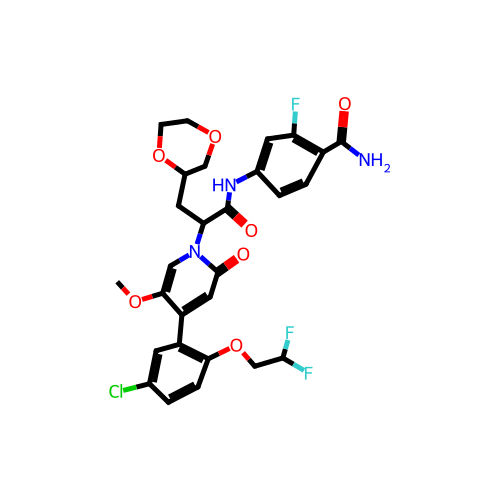 COc1cn(C(CC2COCCO2)C(=O)Nc2ccc(C(N)=O)c(F)c2)c(=O)cc1-c1cc(Cl)ccc1OCC(F)F